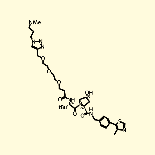 CNCCCn1cc(COCCOCCOCCC(=O)N[C@H](C(=O)N2C[C@H](O)C[C@H]2C(=O)NCc2ccc(-c3scnc3C)cc2)C(C)(C)C)nn1